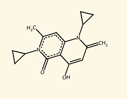 C=C1C=C(O)c2c(cc(C)n(C3CC3)c2=O)N1C1CC1